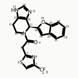 O=C(Cc1nc(C(F)(F)F)cs1)N1CCc2[nH]cnc2[C@H]1c1cc2ccccc2o1